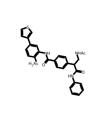 CC(=O)NCC(C(=O)Nc1ccccc1)c1ccc(C(=O)Nc2cc(-c3ccsc3)ccc2[AsH2])cc1